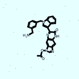 CC(=O)On1cnc2cc3[nH]c(=O)c(-c4cn(Cc5cccc(CN)c5)c5ccccc45)nc3cc21